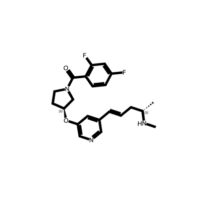 CN[C@@H](C)CC=Cc1cncc(O[C@H]2CCN(C(=O)c3ccc(F)cc3F)C2)c1